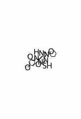 COc1cc(OC)c(Nc2nc(S)nc3c2ncn3C2CCCCO2)c(OC)c1